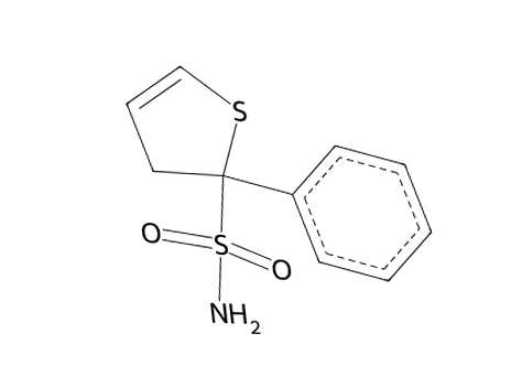 NS(=O)(=O)C1(c2ccccc2)CC=CS1